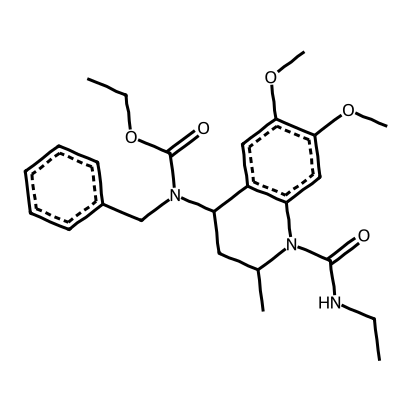 CCNC(=O)N1c2cc(OC)c(OC)cc2C(N(Cc2ccccc2)C(=O)OCC)CC1C